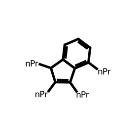 CCC[C]1C(CCC)=C(CCC)c2c(CCC)cccc21